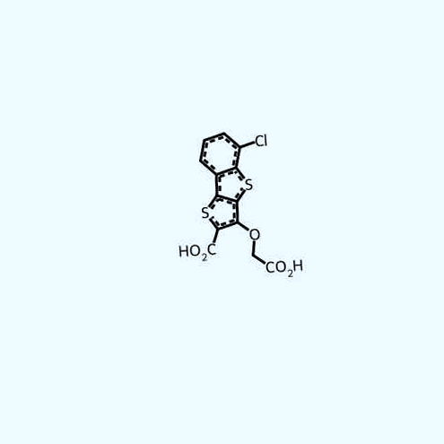 O=C(O)COc1c(C(=O)O)sc2c1sc1c(Cl)cccc12